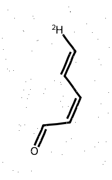 [2H]/C=C/C=C\C=O